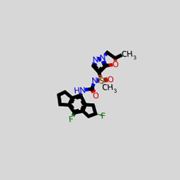 CC1Cn2ncc(S(C)(=O)=NC(=O)Nc3c4c(c(F)c5c3C[C@H](F)C5)CCC4)c2O1